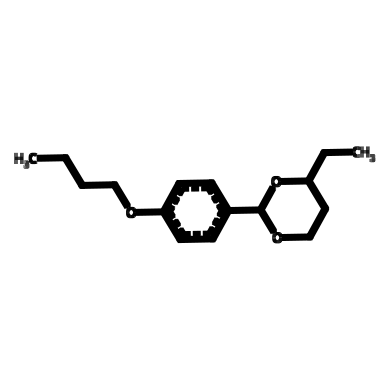 CCCCOc1ccc(C2OCCC(CC)O2)cc1